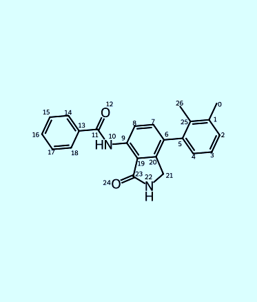 Cc1cccc(-c2ccc(NC(=O)c3ccccc3)c3c2CNC3=O)c1C